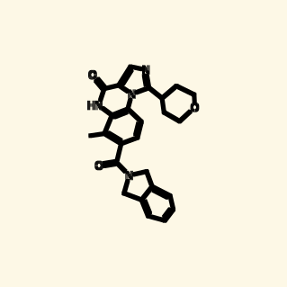 Cc1c(C(=O)N2Cc3ccccc3C2)ccc2c1[nH]c(=O)c1cnc(C3CCOCC3)n12